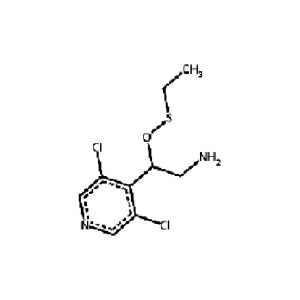 CCSOC(CN)c1c(Cl)cncc1Cl